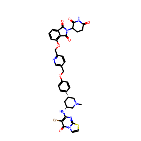 CN1C[C@H](Nc2nc3sccn3c(=O)c2Br)C[C@H](c2ccc(OCc3ccc(COc4cccc5c4C(=O)N(C4CCC(=O)NC4=O)C5=O)nc3)cc2)C1